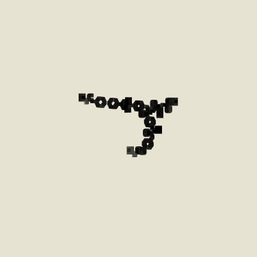 CC[C@H]1CC[C@H](C2CC=C(c3cnc(-c4ccc(CN(CC(=O)NCC(=O)O)C(=O)c5ccc(NC(=O)Cc6ccc(OC)cc6)cc5)cc4)nc3)CC2)CC1